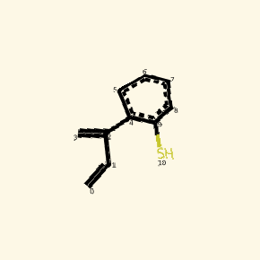 C=CC(=C)c1ccccc1S